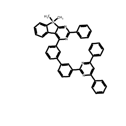 C[Si]1(C)c2ccccc2-c2c(-c3cccc(-c4cccc(-c5nc(-c6ccccc6)cc(-c6ccccc6)n5)c4)c3)nc(-c3ccccc3)nc21